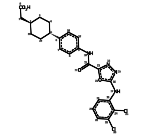 O=C(O)C[C@H]1CC[C@H](c2ccc(NC(=O)c3nnc(Nc4cccc(Cl)c4Cl)o3)cc2)CC1